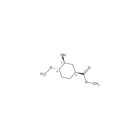 COC(=O)[C@H]1CC[C@H](OC)[C@@H](O)C1